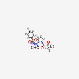 CCC(C)(C)C(=O)C(=O)N1CCCC1N(C=O)NS(=O)(=O)c1ccc(C)cc1